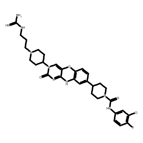 N=C(N)NCCCN1CCC(n2cc3c(nc2=O)Nc2cc(C4CCN(C(=O)Nc5ccc(F)c(Cl)c5)CC4)ccc2O3)CC1